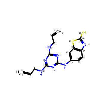 C=CCNc1nc(NCC=C)nc(Nc2ccc3nc(S)sc3c2)n1